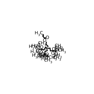 CC=CC(=O)OCCC[Si](CCC(O[SiH2]C)(O[SiH2]C)C(=O)OC)(CCC(O[SiH2]C)(O[SiH2]C)C(=O)OC)CCC(O[SiH2]C)(O[SiH2]C)C(=O)OC